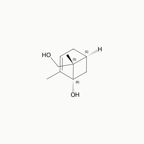 CC1=CC[C@H]2C[C@]1(O)[C@]2(C)CO